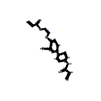 C=CC(=O)O/C=C\Oc1ccc(-c2ccc(OC(=O)C=C)cc2)cc1F